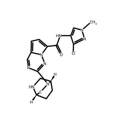 Cn1cc(NC(=O)c2ccc3cnc(N4C[C@@H]5CC[C@H]4CN5)nn23)c(Cl)n1